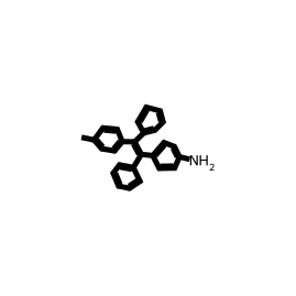 Cc1ccc(/C(=C(\c2ccccc2)c2ccc(N)cc2)c2ccccc2)cc1